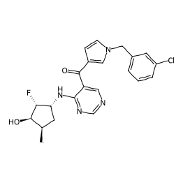 [CH2][C@@H]1C[C@@H](Nc2ncncc2C(=O)c2ccn(Cc3cccc(Cl)c3)c2)[C@@H](F)[C@@H]1O